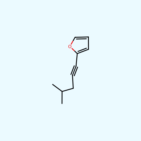 CC(C)CC#Cc1ccco1